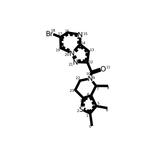 Cc1sc2c(c1C)C(C)N(C(=O)c1cc3ncc(Br)cn3n1)CC2